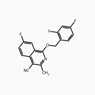 Cc1nc(OCc2ccc(F)cc2F)c2cc(F)ccc2c1C#N